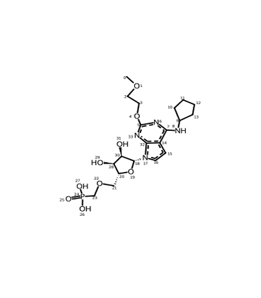 COCCOc1nc(NC2CCCC2)c2ccn([C@@H]3O[C@H](COCP(=O)(O)O)[C@@H](O)[C@H]3O)c2n1